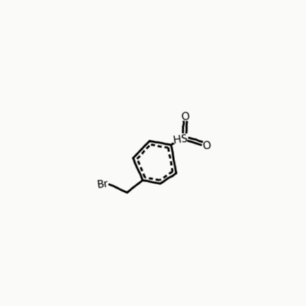 O=[SH](=O)c1ccc(CBr)cc1